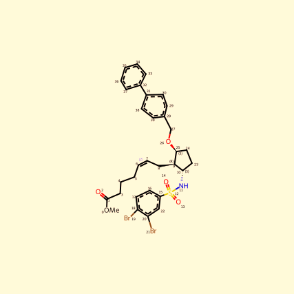 COC(=O)CCC/C=C\C[C@@H]1[C@@H](NS(=O)(=O)c2ccc(Br)c(Br)c2)CC[C@@H]1OCc1ccc(-c2ccccc2)cc1